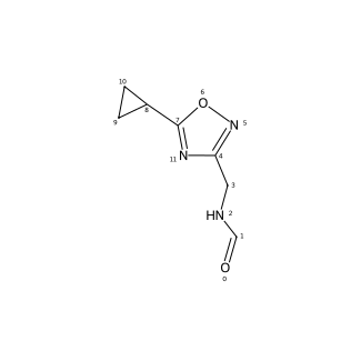 O=CNCc1noc(C2CC2)n1